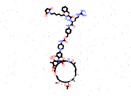 CO[C@H]1/C=C/O[C@@]2(C)Oc3c(C)c(O)c4c(=O)c(c5oc6cc(N7CCC(NC(=O)OCc8ccc(NC(=O)[C@H](CCCNC(=N)N)NC(=O)[C@H](Cc9ccccc9)NC(=O)CCCCCN9C(=O)C=CC9=O)cc8)CC7)cc(O)c6nc-5c4c3C2=O)NC(=O)/C(C)=C\C=C\[C@H](C)C[C@@H](C)C[C@@H](C)[C@H](OC(C)=O)[C@@H]1C